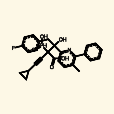 Cc1ccc(C(O)(Cc2ccc(F)cc2)C(C#CC2CC2)(C(=O)O)[PH](=O)O)nc1-c1ccccc1